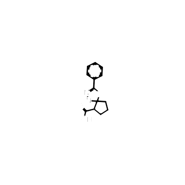 O=C(O)C1CCCC12NN=C(c1ccccc1)S2